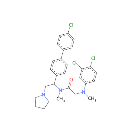 CN(CC(=O)N(C)C(CN1CCCC1)c1ccc(-c2ccc(Cl)cc2)cc1)c1ccc(Cl)c(Cl)c1